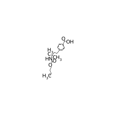 CCCCOC(=O)NC(C)(C)CCc1ccc(C(=O)O)cc1